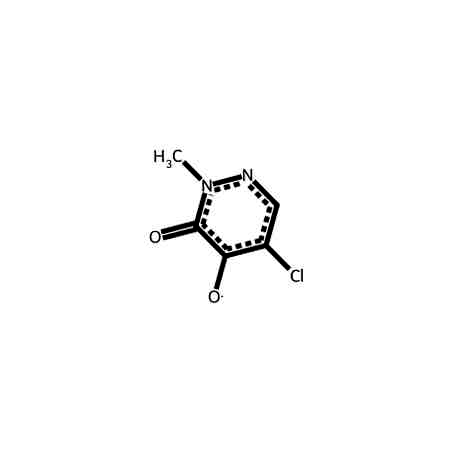 Cn1ncc(Cl)c([O])c1=O